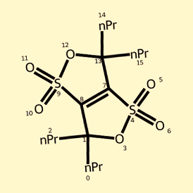 CCCC1(CCC)OS(=O)(=O)C2=C1S(=O)(=O)OC2(CCC)CCC